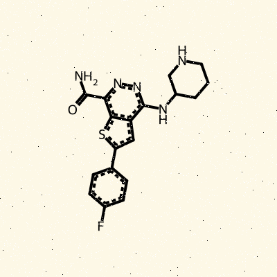 NC(=O)c1nnc(NC2CCCNC2)c2cc(-c3ccc(F)cc3)sc12